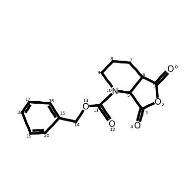 O=C1OC(=O)C2C1CCCN2C(=O)OCc1ccccc1